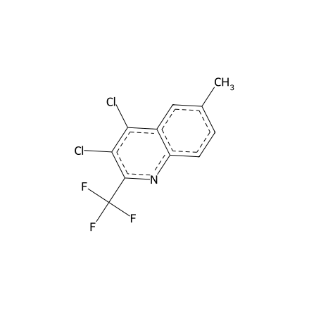 Cc1ccc2nc(C(F)(F)F)c(Cl)c(Cl)c2c1